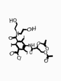 CC(=O)OCC(OC(C)=O)C(=O)Nc1c(I)c(C(=O)Cl)c(I)c(C(=O)N(CCO)CCO)c1I